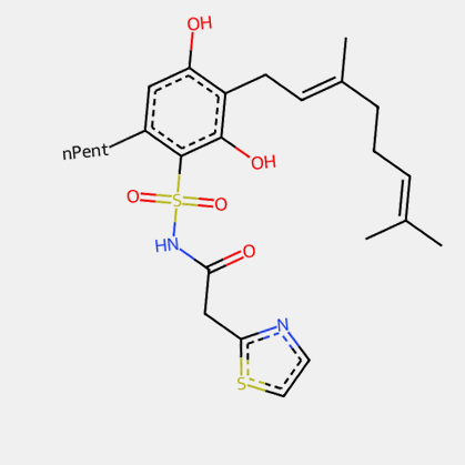 CCCCCc1cc(O)c(C/C=C(\C)CCC=C(C)C)c(O)c1S(=O)(=O)NC(=O)Cc1nccs1